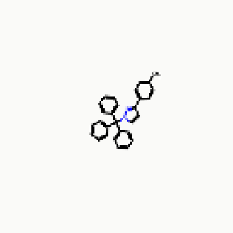 Cc1ccc(-c2ccn(C(c3ccccc3)(c3ccccc3)c3ccccc3)n2)cc1